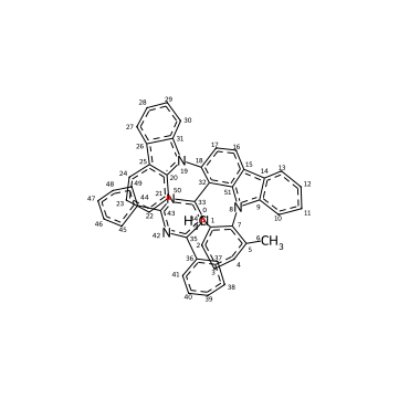 Cc1cccc(C)c1-n1c2ccccc2c2ccc(-n3c4ccccc4c4ccccc43)c(-c3nc(-c4ccccc4)nc(-c4ccccc4)n3)c21